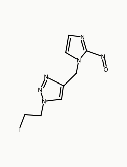 O=Nc1nccn1Cc1cn(CCI)nn1